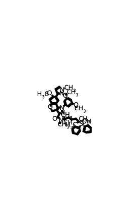 COc1cc(OC)cc(-n2nc(C(=O)N(C)C(C)(C)CCCC(C)(C)[Si](O)(c3ccccc3)c3ccccc3)c3c2-c2cc(-c4ccn(C)n4)c(OC)cc2OC3)c1